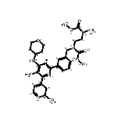 Cc1c(NC2CCOCC2)nc(-c2cccc(CN(CCN(C)C(=O)OC(C)(C)C)C(=O)OC(C)(C)C)c2)nc1C1=CC=NC(C)C1